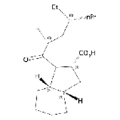 CCC[C@@H](CC)C[C@@H](C)C(=O)C1[C@H]2CCCC[C@H]2C[C@H]1C(=O)O